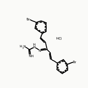 Cl.N=C(N)NN=C(/C=C/c1cccc(Br)c1)/C=C/c1cccc(Br)c1